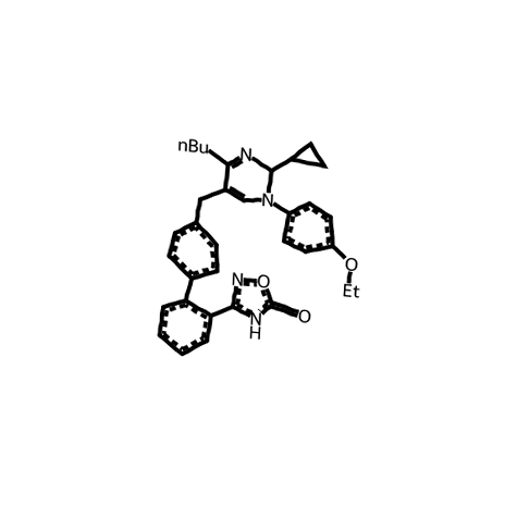 CCCCC1=NC(C2CC2)N(c2ccc(OCC)cc2)C=C1Cc1ccc(-c2ccccc2-c2noc(=O)[nH]2)cc1